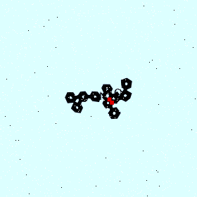 c1ccc(-c2ccc(N(c3ccc(-c4ccc(-c5ccccc5)c(-c5ccccc5)c4)cc3)c3ccccc3-c3cccc4c3oc3c(-c5ccccc5)cccc34)cc2)cc1